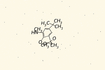 CNc1cc(C(C)(C)C)cc(S(C)(=O)=O)c1OC